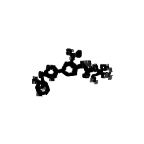 CC(C)(C)OC(=O)Nc1ccc(-c2cnc(O[C@H]3CN4CCC3CC4)nc2)cc1[N+](=O)[O-]